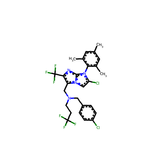 Cc1cc(C)c(-n2c(Cl)cn3c(CN(CCC(F)(F)F)Cc4ccc(Cl)cc4)c(C(F)(F)F)nc23)c(C)c1